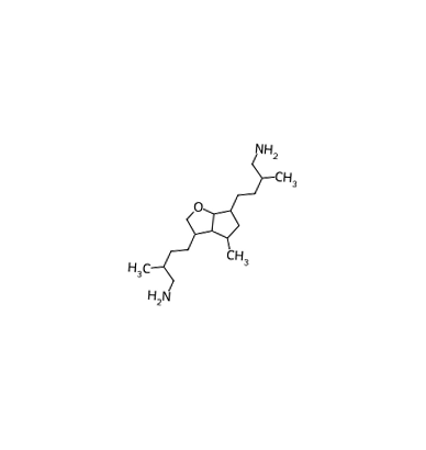 CC(CN)CCC1CC(C)C2C(CCC(C)CN)COC12